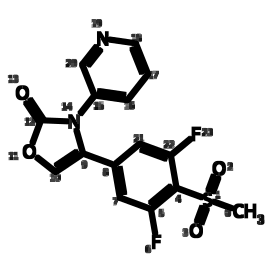 CS(=O)(=O)c1c(F)cc(-c2coc(=O)n2-c2cccnc2)cc1F